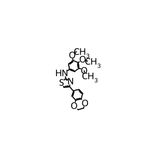 COc1cc(Nc2nc(-c3ccc4c(c3)OCCO4)cs2)cc(OC)c1OC